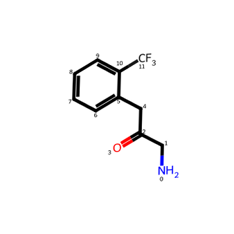 NCC(=O)Cc1ccccc1C(F)(F)F